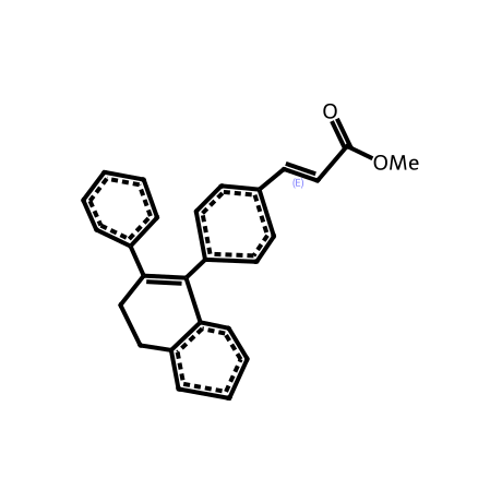 COC(=O)/C=C/c1ccc(C2=C(c3ccccc3)CCc3ccccc32)cc1